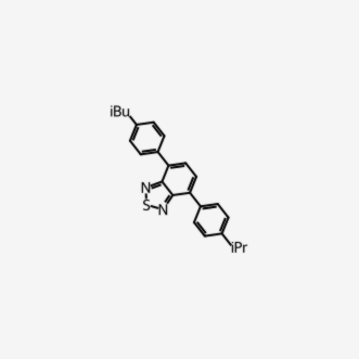 CCC(C)c1ccc(-c2ccc(-c3ccc(C(C)C)cc3)c3nsnc23)cc1